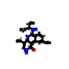 CC(Nc1nc2c(C(C)(C)C)c[nH]c(=O)c2c2cc(C(C)(C)C)ccc12)C(C)(C)C